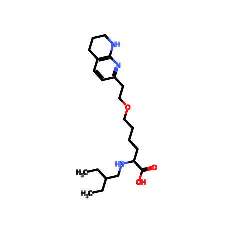 CCC(CC)CNC(CCCCOCCc1ccc2c(n1)NCCC2)C(=O)O